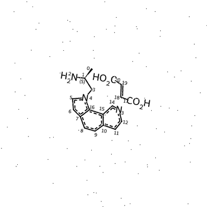 C[C@H](N)Cn1ccc2ccc3ccncc3c21.O=C(O)C=CC(=O)O